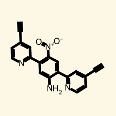 C#Cc1ccnc(-c2cc([N+](=O)[O-])c(-c3cc(C#C)ccn3)cc2N)c1